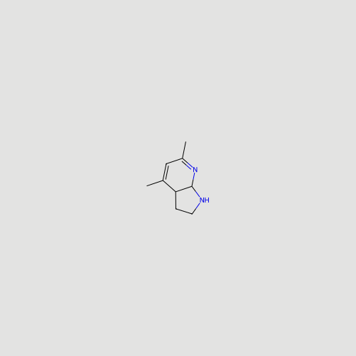 CC1=CC(C)=NC2NCCC12